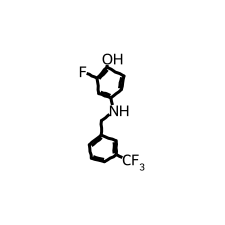 Oc1ccc(NCc2cccc(C(F)(F)F)c2)cc1F